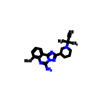 C#CC(C)(C)N1CCCC(c2nc3c4cccc(OC)c4nc(N)n3n2)C1